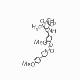 COc1ccc(C2CCN(C(=O)COc3ccc(-c4cc5c([nH]4)c(=O)n(C)c(=O)n5C)cc3OC)CC2)cc1